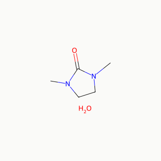 CN1CCN(C)C1=O.O